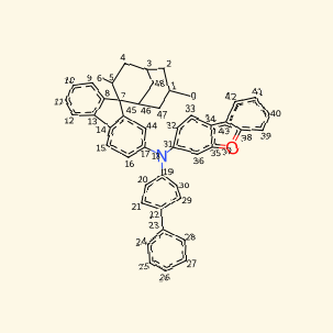 CC1CC2CC(C)C3(c4ccccc4-c4ccc(N(c5ccc(-c6ccccc6)cc5)c5ccc6c(c5)oc5ccccc56)cc43)C(C1)C2